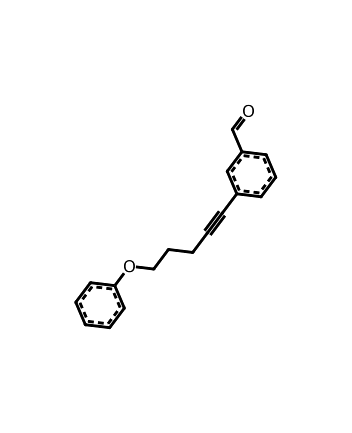 O=Cc1cccc(C#CCCCOc2ccccc2)c1